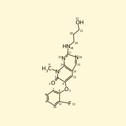 Cn1c(=O)c(Oc2ccccc2F)cc2cnc(NCCCO)nc21